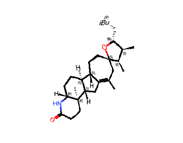 CC[C@@H](C)C[C@H]1O[C@]2(CC[C@@H]3C(=C(C)C2)C[C@H]2[C@H]3CC[C@H]3NC(=O)CC[C@@]32C)[C@H](C)[C@@H]1C